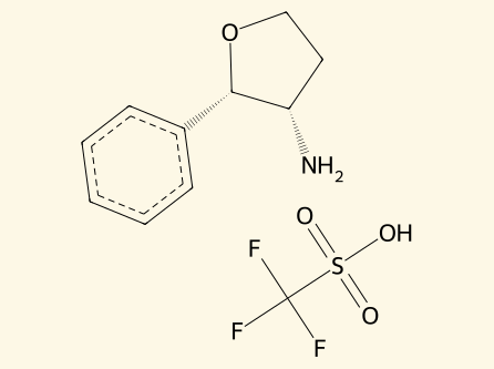 N[C@H]1CCO[C@H]1c1ccccc1.O=S(=O)(O)C(F)(F)F